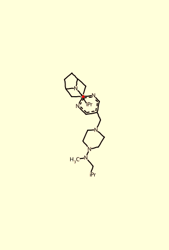 CC(C)CN(C)N1CCN(Cc2cnc(N3C4CCC3CN(C(C)C)C4)nc2)CC1